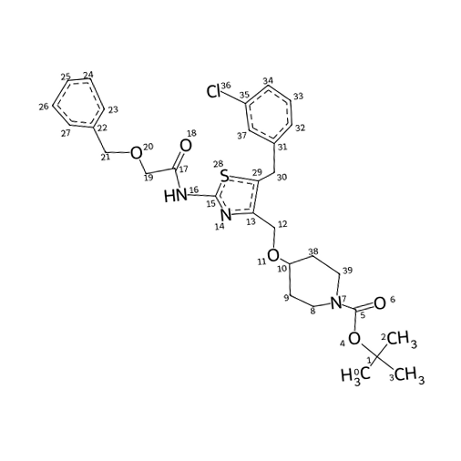 CC(C)(C)OC(=O)N1CCC(OCc2nc(NC(=O)COCc3ccccc3)sc2Cc2cccc(Cl)c2)CC1